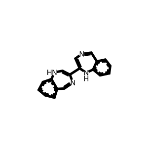 C1=NC=C(C2=CNc3ccccc3C=N2)Nc2ccccc21